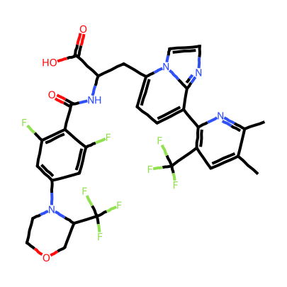 Cc1cc(C(F)(F)F)c(-c2ccc(CC(NC(=O)c3c(F)cc(N4CCOCC4C(F)(F)F)cc3F)C(=O)O)n3ccnc23)nc1C